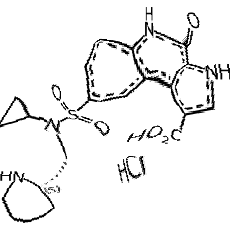 Cl.O=C(O)c1c[nH]c2c(=O)[nH]c3ccc(S(=O)(=O)N(C[C@@H]4CCCN4)C4CC4)cc3c12